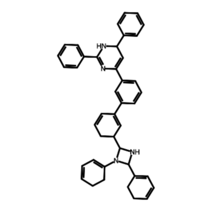 C1=CCCC(C2NC(C3C=C(c4cccc(C5=CC(c6ccccc6)NC(c6ccccc6)=N5)c4)C=CC3)N2C2=CC=CCC2)=C1